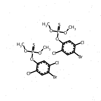 COP(=S)(OC)Oc1cc(Cl)c(Br)cc1Cl.COP(=S)(OC)Oc1cc(Cl)c(Br)cc1Cl